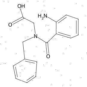 Nc1ccccc1C(=O)N(CC(=O)O)Cc1ccccc1